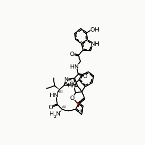 CC(C)[C@@H]1NC(=O)[C@@H](N)Cc2ccc3c(c2)C2(c4ccccc4NC2O3)c2oc1nc2C(=O)NCC(=O)c1c[nH]c2c(O)cccc12